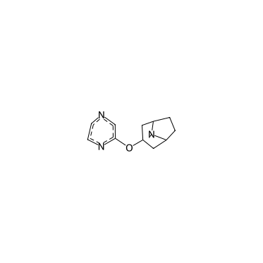 CN1C2CCC1CC(Oc1cnccn1)C2